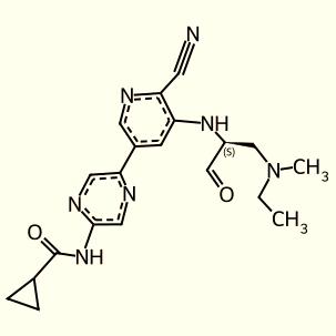 CCN(C)C[C@@H](C=O)Nc1cc(-c2cnc(NC(=O)C3CC3)cn2)cnc1C#N